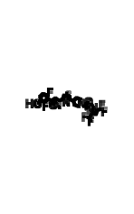 O=C(Cn1nc(C(F)F)cc1C(F)F)N1CCC(c2nc(C3=NOC(c4c(F)ccc(O)c4F)C3)cs2)CC1